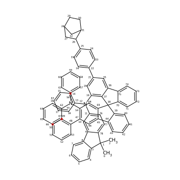 CC1(C)c2ccccc2-c2cc(N(c3ccccc3)c3cc(-c4ccc(C5CC6CCC5C6)cc4)cc4c3C3(c5ccccc5-c5cc(-c6ccccc6)c(N(c6ccccc6)c6ccccc6)cc53)c3ccccc3-4)ccc21